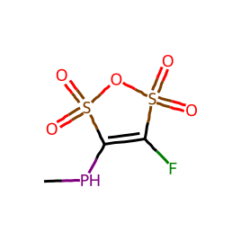 CPC1=C(F)S(=O)(=O)OS1(=O)=O